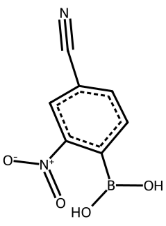 N#Cc1ccc(B(O)O)c([N+](=O)[O-])c1